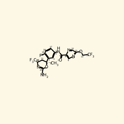 C[C@@]1(c2cc(NC(=O)c3cnc(OCC(F)(F)F)cn3)ccc2F)C[C@@H](C(F)(F)F)N=C(N)O1